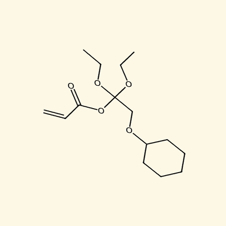 C=CC(=O)OC(COC1CCCCC1)(OCC)OCC